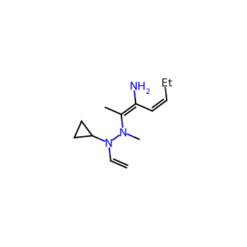 C=CN(C1CC1)N(C)/C(C)=C(N)\C=C/CC